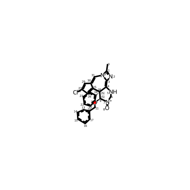 CC1=NC2=C3NC[N+](=O)[C@@H](OCc4ccccc4)[C@@]3(c3ccccc3)C3=CC(Cl)=CC3=CN12